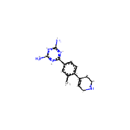 Cc1cc(-c2nc(N)nc(N)n2)ccc1C1=CCNCC1